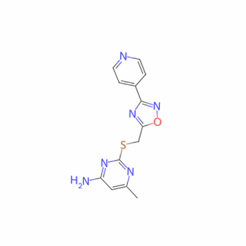 Cc1cc(N)nc(SCc2nc(-c3ccncc3)no2)n1